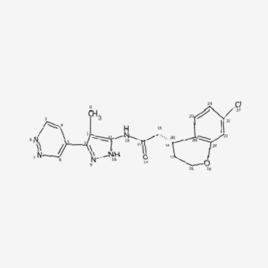 Cc1c(-c2ccnnc2)n[nH]c1NC(=O)C[C@H]1CCOc2cc(Cl)ccc21